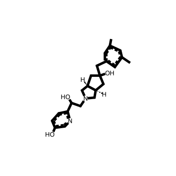 Cc1cc(C)cc(CC2(O)C[C@H]3CN(CC(O)c4ccc(O)cn4)C[C@H]3C2)c1